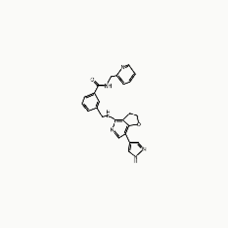 O=C(NCc1ccccn1)c1cccc(CNc2ncc(-c3cn[nH]c3)c3c2CCO3)c1